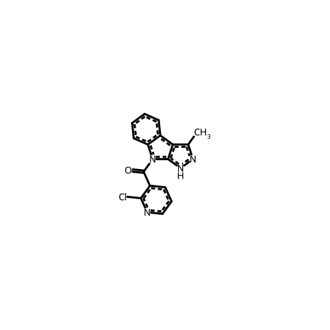 Cc1n[nH]c2c1c1ccccc1n2C(=O)c1cccnc1Cl